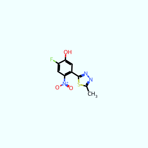 Cc1nnc(-c2cc(O)c(F)cc2[N+](=O)[O-])s1